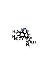 CC1=C(C)C(C)(C)c2cc(CC(C)C)cc3ccnc1c23